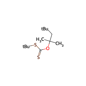 CC(C)(C)CC(C)(C)OC(=S)SC(C)(C)C